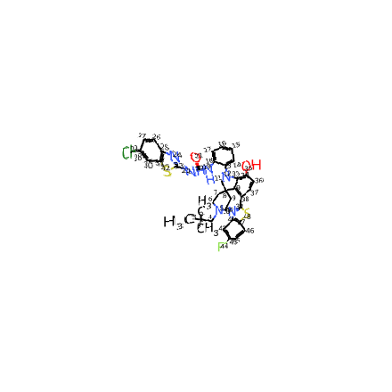 CC(C)(C)CN1CCC2(CC1)CN(c1ccccc1NC(=O)Nc1nc3ccc(Cl)cc3s1)c1c(O)ccc(-c3nc4cc(F)ccc4s3)c12